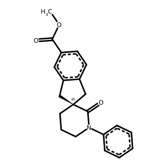 COC(=O)c1ccc2c(c1)C[C@@]1(CCCN(c3ccccc3)C1=O)C2